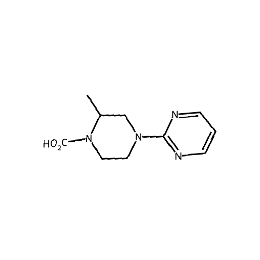 CC1CN(c2ncccn2)CCN1C(=O)O